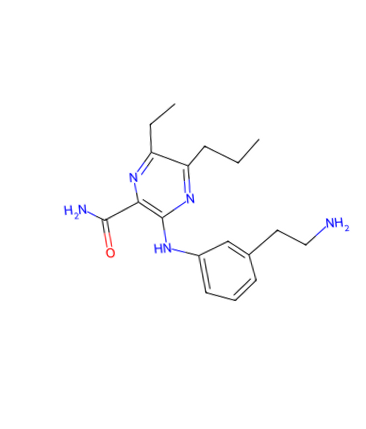 CCCc1nc(Nc2cccc(CCN)c2)c(C(N)=O)nc1CC